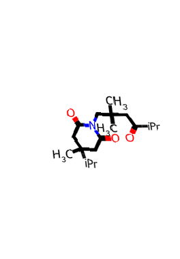 CC(C)C(=O)CC(C)(C)CN1C(=O)CC(C)(C(C)C)CC1=O